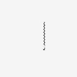 CCCCCCCCCCCCCCCCCCNCC(C)=O